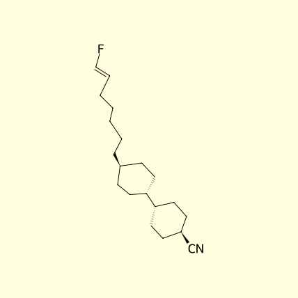 N#C[C@H]1CC[C@H]([C@H]2CC[C@H](CCCCC/C=C/F)CC2)CC1